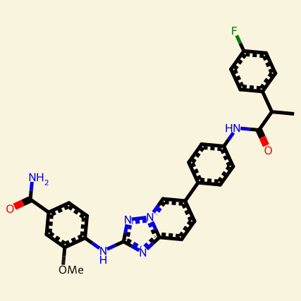 COc1cc(C(N)=O)ccc1Nc1nc2ccc(-c3ccc(NC(=O)C(C)c4ccc(F)cc4)cc3)cn2n1